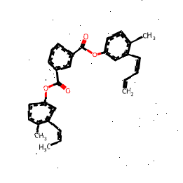 C=C/C=C\c1cc(OC(=O)c2cccc(C(=O)Oc3ccc(C)c(/C=C\C)c3)c2)ccc1C